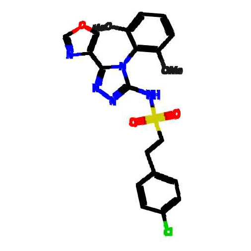 COc1cccc(OC)c1-n1c(NS(=O)(=O)CCc2ccc(Cl)cc2)nnc1-c1cocn1